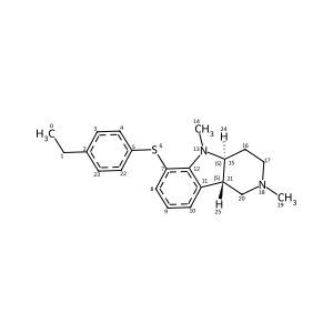 CCc1ccc(Sc2cccc3c2N(C)[C@H]2CCN(C)C[C@H]32)cc1